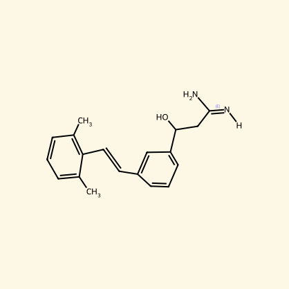 [H]/N=C(/N)CC(O)c1cccc(C=Cc2c(C)cccc2C)c1